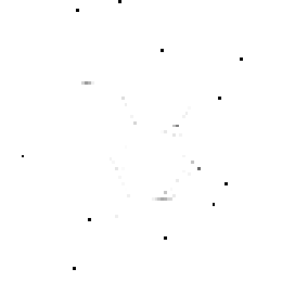 Cc1ncc(F)cc1[C@@H](C)O